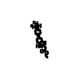 [2H]C([2H])([2H])N1CCN(c2ccc3[nH]c(CC(=O)OCC)nc3c2)CC1